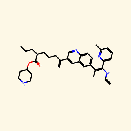 C=CN/C(=C(\C)c1ccc2ncc(C(=C)CCCC(CCC)C(=O)OC3CCNCC3)cc2c1)c1cccc(C)n1